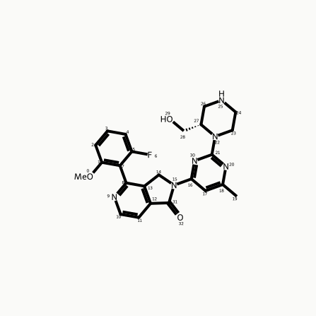 COc1cccc(F)c1-c1nccc2c1CN(c1cc(C)nc(N3CCNC[C@H]3CO)n1)C2=O